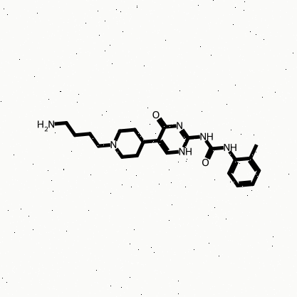 Cc1ccccc1NC(=O)Nc1nc(=O)c(C2CCN(CCCCN)CC2)c[nH]1